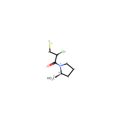 O=C(O)[C@@H]1CCCN1C(=O)C(Cl)CS